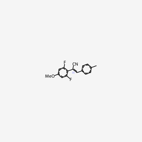 COc1cc(F)c(/C(C#N)=C/c2ccc(C)cc2)c(F)c1